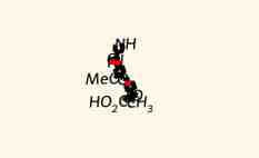 COc1cc(-c2noc(C3CCNCC3)n2)ccc1OCc1ccc(C(=O)N(C)CC(=O)O)cc1